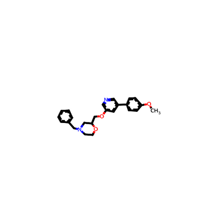 COc1ccc(-c2cncc(OCC3CN(Cc4ccccc4)CCO3)c2)cc1